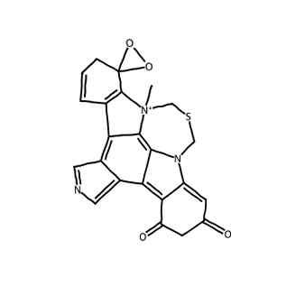 C[N+]12CSCn3c4c(c5c6c(c(c1c53)C1=C2C2(CC=C1)OO2)C=NC=6)C(=O)CC(=O)C=4